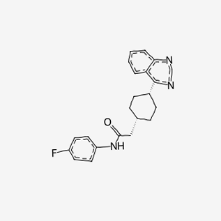 O=C(C[C@H]1CC[C@@H](c2ncnc3ccccc32)CC1)Nc1ccc(F)cc1